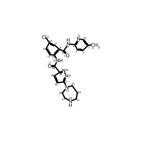 Cc1ccc(NC(=O)c2cc(Cl)ccc2NC(=O)c2ccc(N3CCCNCC3)nn2)nc1